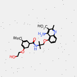 COC1=CC(C(=O)NC(C)(C)COc2cccc3nc(C)c(C(=O)O)c(N)c23)CC(OCCO)=C1